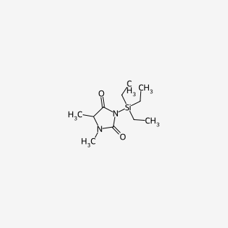 CC[Si](CC)(CC)N1C(=O)C(C)N(C)C1=O